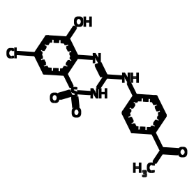 CC(=O)c1ccc(NC2=Nc3c(O)cc(Cl)cc3S(=O)(=O)N2)cc1